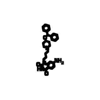 Nc1ccc2c(=O)[nH]c(=O)n(CCCCN3CCC(OC(c4ccccc4)c4ccccc4)CC3)c2c1